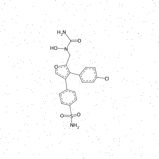 NC(=O)N(O)Cc1occ(-c2ccc(S(N)(=O)=O)cc2)c1-c1ccc(Cl)cc1